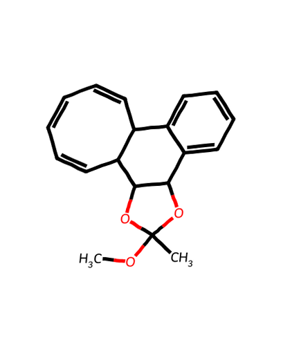 COC1(C)OC2c3ccccc3C3\C=C/C=C\C=C/C3C2O1